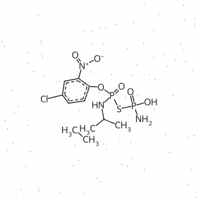 CC.CC(C)NP(=O)(Oc1ccc(Cl)cc1[N+](=O)[O-])SP(N)(=O)O